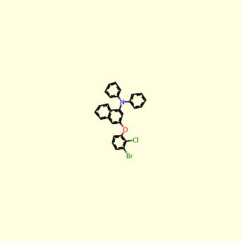 Clc1c(Br)cccc1Oc1cc(N(c2ccccc2)c2ccccc2)c2ccccc2c1